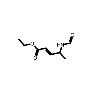 CCOC(=O)/C=C/C(C)NC=O